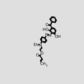 CC=CC(=O)OCCN(CC)c1ccc(N=Nc2c(O)ccc(C(=O)c3ccccc3)c2O)cc1